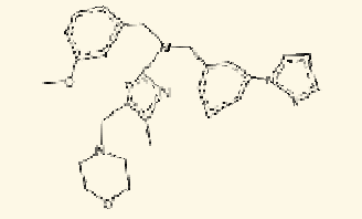 COc1cccc(CN(Cc2cccc(-n3cccn3)c2)c2nc(C)c(CN3CCOCC3)o2)c1